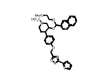 COCCOC(OC1CN(C(=O)O)CCC1c1ccc(OCc2nc(-c3cccs3)no2)cc1)c1ccc2ccccc2c1